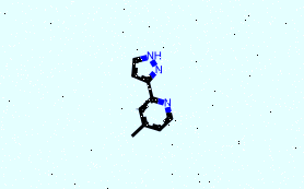 Cc1[c]c(-c2cc[nH]n2)ncc1